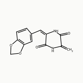 C=c1[nH]c(=O)c(=Cc2ccc3c(c2)OCO3)[nH]c1=O